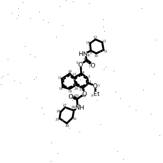 CCOc1cc(OC(=O)NC2CCCCC2)c2ccccc2c1OC(=O)NC1CCCCC1